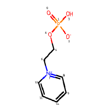 O=P([O-])(O)OCC[n+]1ccccc1